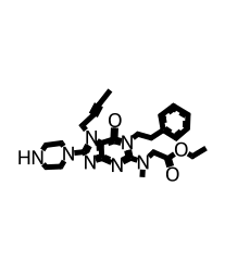 CC#CCn1c(N2CCNCC2)nc2nc(N(C)CC(=O)OCC)n(CCc3ccccc3)c(=O)c21